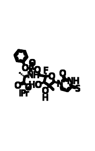 CC(C)OC(=O)[C@H](C)NP(=O)(OC[C@@]1(F)O[C@@H](n2ccc(=S)[nH]c2=O)C(C)(O)[C@H]1O)Oc1ccccc1